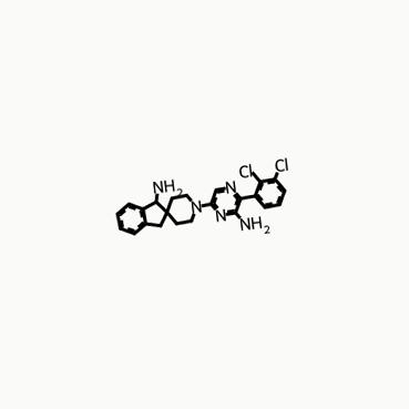 Nc1nc(N2CCC3(CC2)Cc2ccccc2C3N)cnc1-c1cccc(Cl)c1Cl